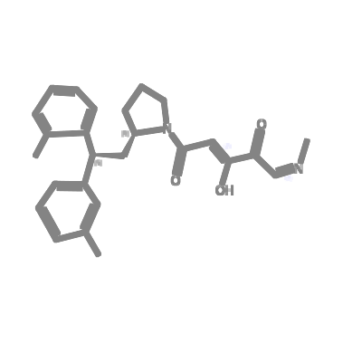 C/N=C\C(=O)/C(O)=C/C(=O)N1CCC[C@@H]1C[C@@H](c1cccc(C)c1)c1ccccc1C